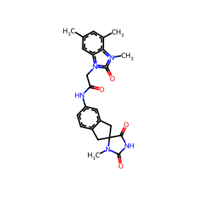 Cc1cc(C)c2c(c1)n(CC(=O)Nc1ccc3c(c1)CC1(C3)C(=O)NC(=O)N1C)c(=O)n2C